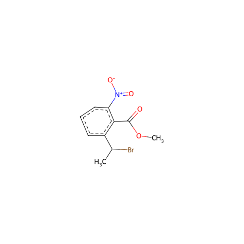 COC(=O)c1c(C(C)Br)cccc1[N+](=O)[O-]